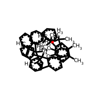 CC1=Cc2ccccc2[C]1(c1ccccc1)[Zr]([O]c1ccc(C)cc1C(C)(C)C)([O]c1ccc(C)cc1C(C)(C)C)([SiH](c1ccccc1)c1ccccc1)[C]1(c2ccccc2)C(C)=Cc2ccccc21